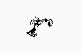 Cc1cc(-c2[nH]nc(C(=O)NCC(C)(C)N3CCOCC3)c2C(C)C)cn2ncnc12